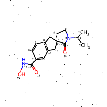 CC(C)N1CC[C@]2(Cc3ccc(C(=O)NO)cc3C2)C1=O